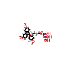 COc1ccc(C(OCCSCCOP(O)OP(O)O)(c2ccc(OC)cc2)c2ccc(OC)cc2)cc1